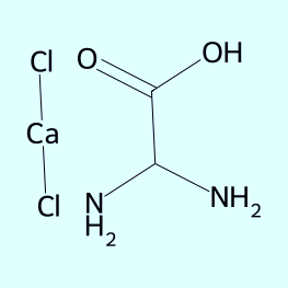 NC(N)C(=O)O.[Cl][Ca][Cl]